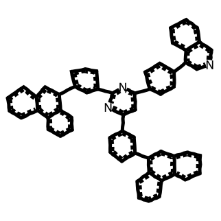 c1cc(-c2cc(-c3ccc(-c4cncc5ccccc45)cc3)nc(-c3cccc(-c4cc5ccccc5c5ccccc45)c3)n2)cc(-c2cc3ccccc3c3ccccc23)c1